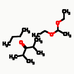 CC(C)C(=O)C(C)C.CCCC.CCOC(C)OCC